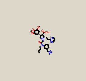 CCCCN(C(=O)CN1C[C@H](c2cc(OC)c3c(c2)OCO3)[C@@H](C(=O)O)[C@@H]1CCc1ncccn1)c1cccc(C[N+](C)(C)C)c1